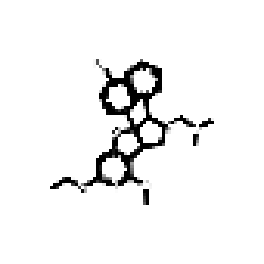 CCOc1cc2c(c(OC)n1)C1C[C@H](CN(C)C)C(c3ccccc3)C1(c1ccc(Br)cc1)O2